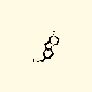 OCc1ccc2c(c1)cc1n2CCNC1